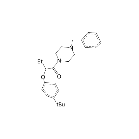 CCC(Oc1ccc(C(C)(C)C)cc1)C(=O)N1CCN(Cc2ccccc2)CC1